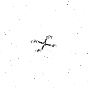 CC[CH][Si](CCC)(CCC)CCC